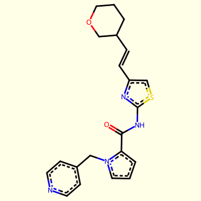 O=C(Nc1nc(/C=C/C2CCCOC2)cs1)c1cccn1Cc1ccncc1